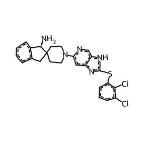 N[C@@H]1c2ccccc2CC12CCN(c1cc3nc(Sc4cccc(Cl)c4Cl)[nH]c3cn1)CC2